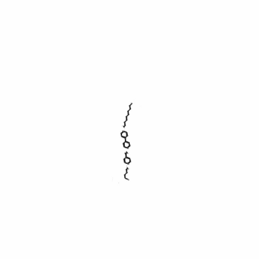 C=CCCCCCCCCOc1ccc(-c2ccc(OC(=O)c3ccc(OCCC[C@@H](C)CC)cc3)cc2)cc1